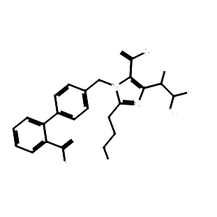 CCCCc1nc(C(O)C(C)C)c(C(N)=O)n1Cc1ccc(-c2ccccc2C(=O)O)cc1